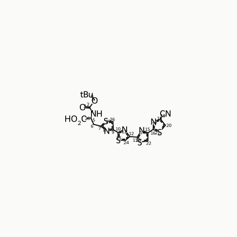 CC(C)(C)OC(=O)N[C@@H](Cc1nc(-c2nc(-c3nc(-c4nc(C#N)cs4)cs3)cs2)cs1)C(=O)O